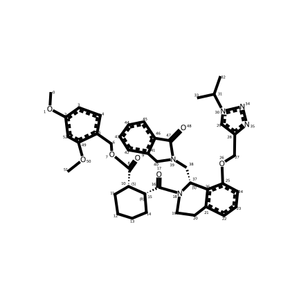 COc1ccc(COC(=O)[C@H]2CCCC[C@H]2C(=O)N2CCc3cccc(OCc4cn(C(C)C)nn4)c3[C@H]2CN2Cc3ccccc3C2=O)c(OC)c1